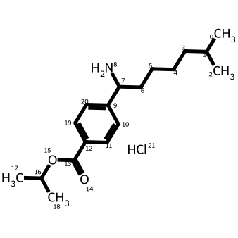 CC(C)CCCCC(N)c1ccc(C(=O)OC(C)C)cc1.Cl